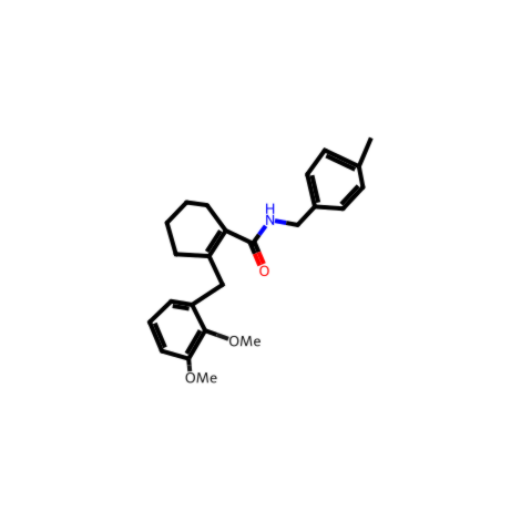 COc1cccc(CC2=C(C(=O)NCc3ccc(C)cc3)CCCC2)c1OC